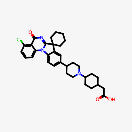 O=C(O)CC1CCC(N2CCC(c3ccc4c(c3)C3(CCCCC3)c3nc(=O)c5c(Cl)cccc5n3-4)CC2)CC1